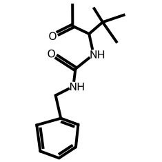 CC(=O)C(NC(=O)NCc1ccccc1)C(C)(C)C